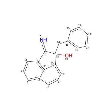 N=C1c2cccc3cccc(c23)C1(O)Cc1ccccc1